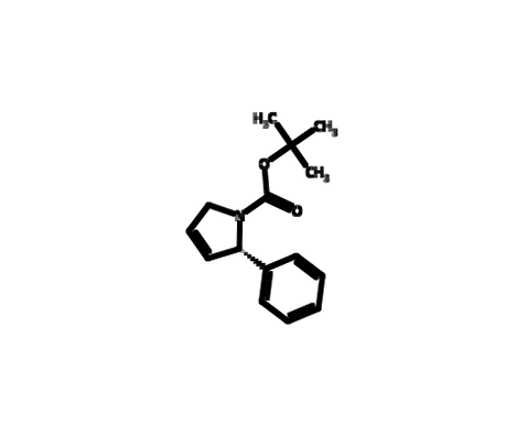 CC(C)(C)OC(=O)N1CC=C[C@H]1c1ccccc1